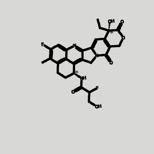 CC[C@@]1(O)C(=O)OCc2c1cc1n(c2=O)Cc2c-1nc1cc(F)c(C)c3c1c2[C@@H](NC(=O)C(F)CO)CC3